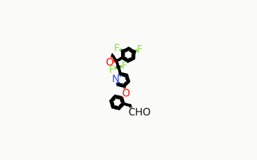 O=CCc1ccccc1Oc1ccc(C(F)(F)C2(c3ccc(F)cc3F)CO2)nc1